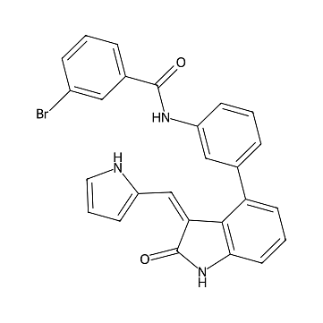 O=C1Nc2cccc(-c3cccc(NC(=O)c4cccc(Br)c4)c3)c2C1=Cc1ccc[nH]1